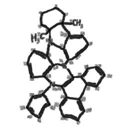 CC12CCCCC1(C)N1c3cccc4c3B(c3cccc2c31)c1c(c2ccccc2c2ccccc12)N4c1ccccc1